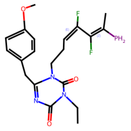 CCn1c(=O)nc(Cc2ccc(OC)cc2)n(CC/C=C(F)\C(F)=C(/C)P)c1=O